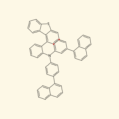 c1cc(-c2cccc3ccccc23)cc(N(c2ccc(-c3cccc4ccccc34)cc2)c2ccccc2-c2cccc3sc4ccccc4c23)c1